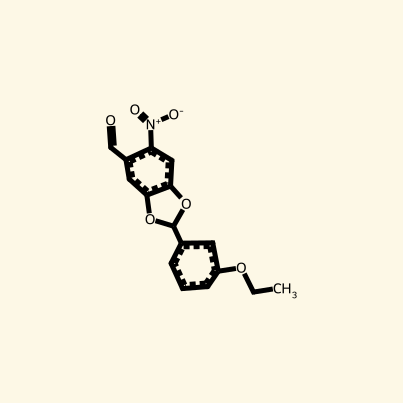 CCOc1cccc(C2Oc3cc(C=O)c([N+](=O)[O-])cc3O2)c1